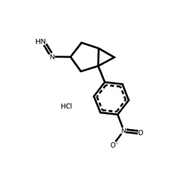 Cl.N=NC1CC2CC2(c2ccc([N+](=O)[O-])cc2)C1